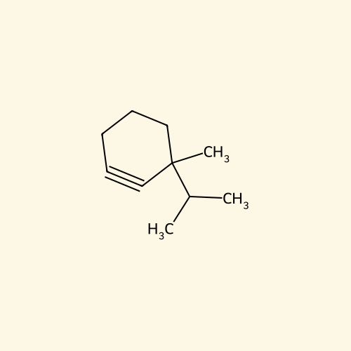 CC(C)C1(C)C#CCCC1